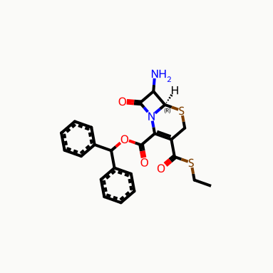 CCSC(=O)C1=C(C(=O)OC(c2ccccc2)c2ccccc2)N2C(=O)C(N)[C@H]2SC1